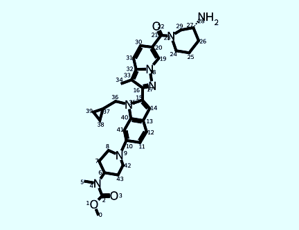 COC(=O)N(C)C1CCN(c2ccc3cc(-c4nn5cc(C(=O)N6CCC[C@@H](N)C6)ccc5c4C)n(CC4CC4)c3c2)CC1